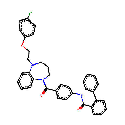 O=C(Nc1ccc(C(=O)N2CCCN(CCOc3ccc(Cl)cc3)c3ccccc32)cc1)c1ccccc1-c1ccccc1